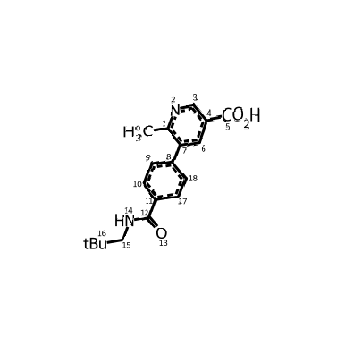 Cc1ncc(C(=O)O)cc1-c1ccc(C(=O)NCC(C)(C)C)cc1